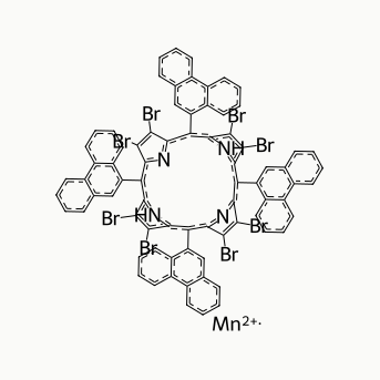 BrC1=C(Br)c2nc1c(-c1cc3ccccc3c3ccccc13)c1[nH]c(c(Br)c1Br)c(-c1cc3ccccc3c3ccccc13)c1nc(c(-c3cc4ccccc4c4ccccc34)c3[nH]c(c(Br)c3Br)c2-c2cc3ccccc3c3ccccc23)C(Br)=C1Br.[Mn+2]